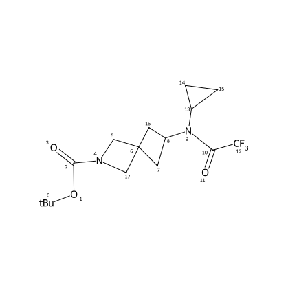 CC(C)(C)OC(=O)N1CC2(CC(N(C(=O)C(F)(F)F)C3CC3)C2)C1